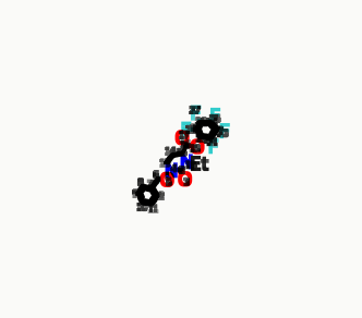 CCN1C(=O)N(OCc2ccccc2)CC[C@H]1C(=O)Oc1c(F)c(F)c(F)c(F)c1F